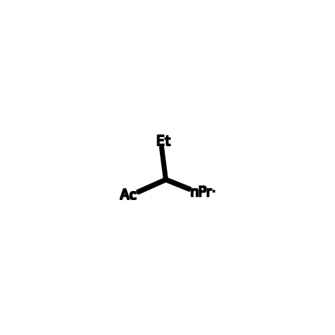 CC[CH]C(CC)C(C)=O